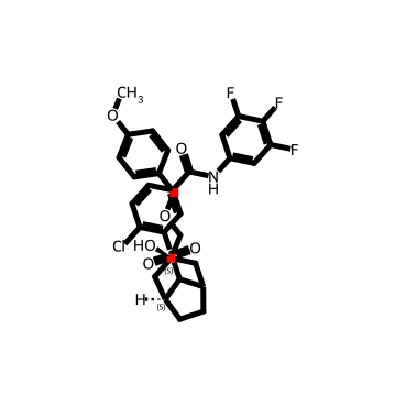 COc1ccc(COC[C@]2(O)CC3CC[C@@H](C2)C3S(=O)(=O)c2cc(C(=O)Nc3cc(F)c(F)c(F)c3)ccc2Cl)cc1